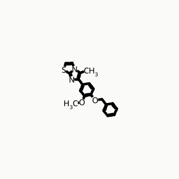 COc1cc(-c2nc3sccn3c2C)ccc1OCc1ccccc1